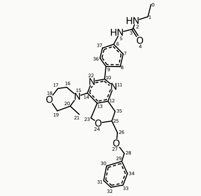 CCNC(=O)Nc1ccc(-c2nc3c(c(N4CCOCC4C)n2)COC(COCc2ccccc2)C3)cc1